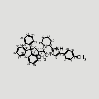 Cc1ccc(-c2cnc(C3CCCCN3C(=O)C(C)SC(c3ccccc3)(c3ccccc3)c3ccccc3)[nH]2)cc1